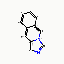 c1ccc2cn3cncc3cc2c1